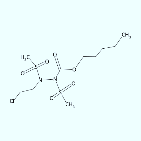 CCCCCOC(=O)N(N(CCCl)S(C)(=O)=O)S(C)(=O)=O